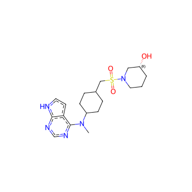 CN(c1ncnc2[nH]ccc12)C1CCC(CS(=O)(=O)N2CCC[C@@H](O)C2)CC1